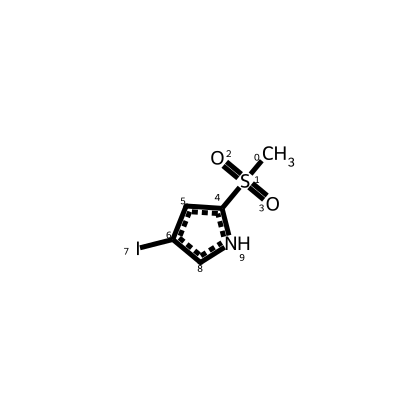 CS(=O)(=O)c1cc(I)c[nH]1